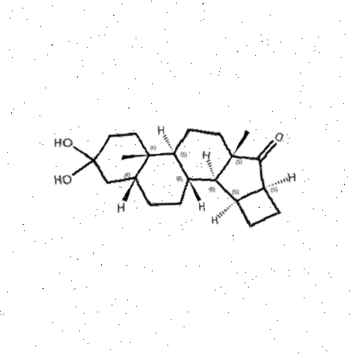 C[C@]12CCC(O)(O)C[C@H]1CC[C@H]1[C@@H]3[C@@H]4CC[C@@H]4C(=O)[C@@]3(C)CC[C@@H]12